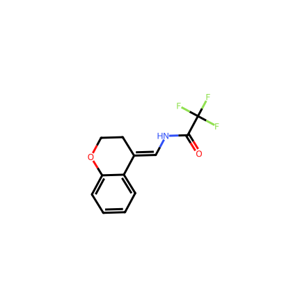 O=C(N/C=C1\CCOc2ccccc21)C(F)(F)F